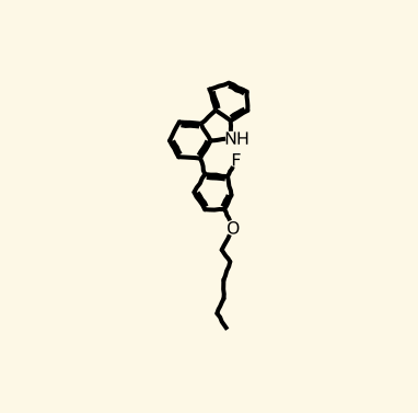 CCCCCCOc1ccc(-c2cccc3c2[nH]c2ccccc23)c(F)c1